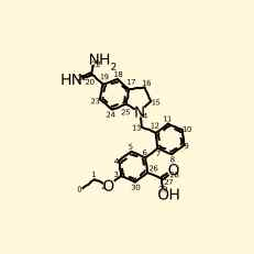 CCOc1ccc(-c2ccccc2CN2CCc3cc(C(=N)N)ccc32)c(C(=O)O)c1